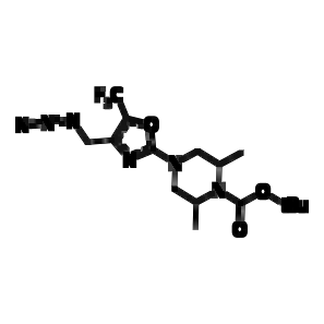 CC1CN(c2nc(CN=[N+]=[N-])c(C(F)(F)F)o2)CC(C)N1C(=O)OC(C)(C)C